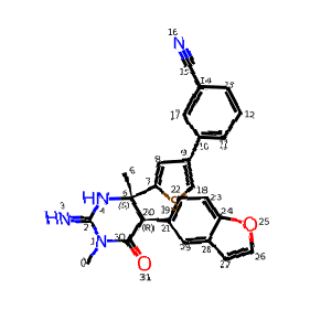 CN1C(=N)N[C@](C)(c2cc(-c3cccc(C#N)c3)cs2)[C@@H](c2ccc3occc3c2)C1=O